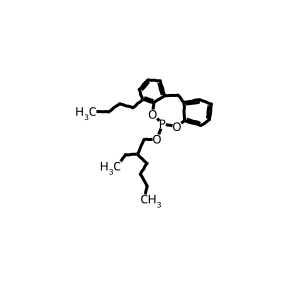 CCCCc1cccc2c1OP(OCC(CC)CCCC)Oc1ccccc1C2